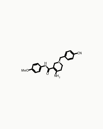 COc1ccc(NC(=O)C2=C(N)CCN(Cc3ccc(C#N)cc3)C2)cc1